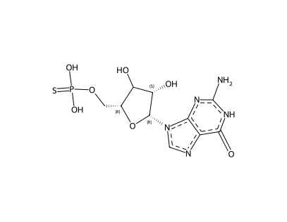 Nc1nc2c(ncn2[C@@H]2O[C@H](COP(O)(O)=S)C(O)[C@@H]2O)c(=O)[nH]1